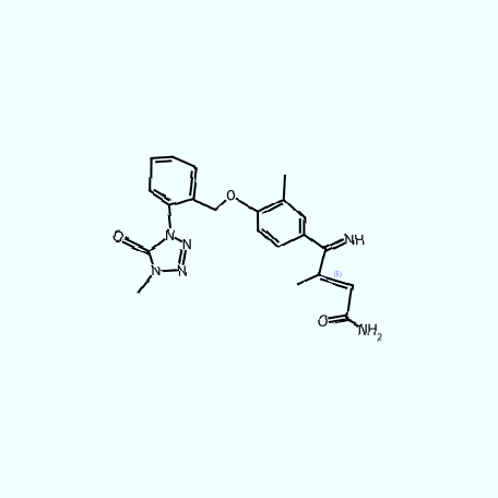 C/C(=C\C(N)=O)C(=N)c1ccc(OCc2ccccc2-n2nnn(C)c2=O)c(C)c1